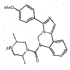 COc1ccc(-c2ncc3n2CN(C(=O)N2CC(C)NCC2C)c2ccccc2-3)cc1